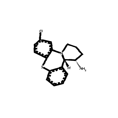 N[C@H]1CCCN2c3cc(Cl)ccc3Sc3ccccc3[C@@H]12